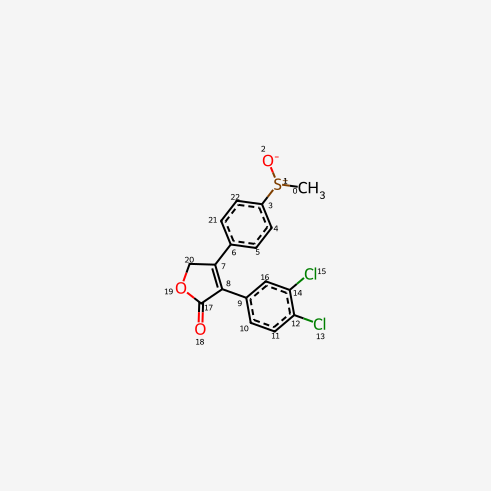 C[S+]([O-])c1ccc(C2=C(c3ccc(Cl)c(Cl)c3)C(=O)OC2)cc1